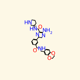 Nc1ncc(-c2cccc(C(=O)NCc3ccc4c(c3)OCCO4)c2)nc1C(=O)N[C@H]1CCCNC1